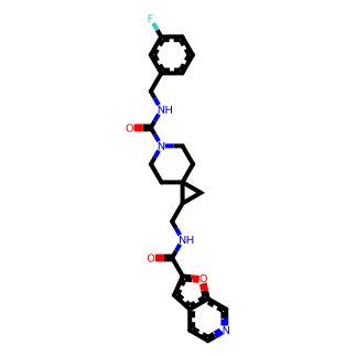 O=C(NCC1CC12CCN(C(=O)NCc1cccc(F)c1)CC2)c1cc2ccncc2o1